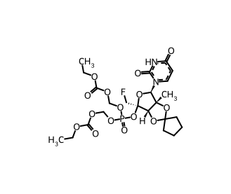 CCOC(=O)OCOP(=O)(OCOC(=O)OCC)O[C@@]1(CF)O[C@@H](n2ccc(=O)[nH]c2=O)[C@]2(C)OC3(CCCC3)O[C@H]12